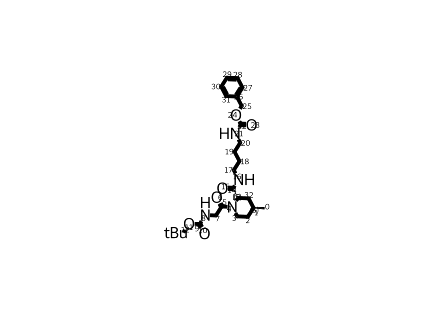 C[C@H]1CCN(C(=O)CNC(=O)OC(C)(C)C)[C@H](C(=O)NCCCCNC(=O)OCc2ccccc2)C1